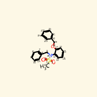 CS(=O)(=O)N(Cc1ccccc1)c1c[c]ccc1OCc1ccccc1